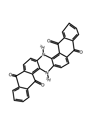 [2H]n1c2ccc3c(=O)c4ccccc4c(=O)c3c2n([2H])c2ccc3c(=O)c4ccccc4c(=O)c3c21